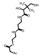 CC(=O)CC(=O)SCCNC(=O)CCNC(=O)C(O)C(C)(C)CO